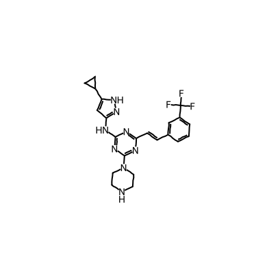 FC(F)(F)c1cccc(/C=C/c2nc(Nc3cc(C4CC4)[nH]n3)nc(N3CCNCC3)n2)c1